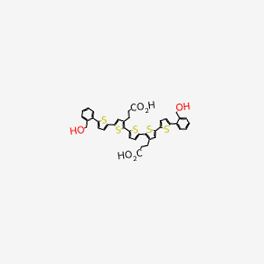 O=C(O)CCc1cc(-c2ccc(-c3ccccc3CO)s2)sc1-c1ccc(-c2sc(-c3ccc(-c4ccccc4CO)s3)cc2CCC(=O)O)s1